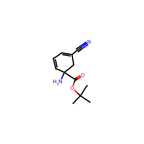 CC(C)(C)OC(=O)C1(N)C=CC=C(C#N)C1